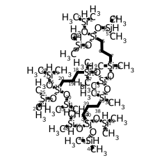 C[SiH](C)O[Si](CCC[Si](C)(C)O[Si](C)(O[Si](C)(C)CCC[Si](O[SiH](C)C)(O[SiH](C)C)O[SiH](C)C)O[Si](C)(C)CCC[Si](O[SiH](C)C)(O[SiH](C)C)O[SiH](C)C)(O[SiH](C)C)O[SiH](C)C